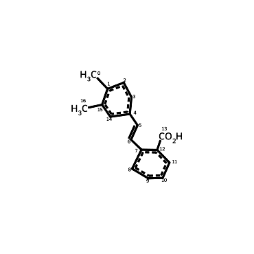 Cc1ccc(C=Cc2ccccc2C(=O)O)cc1C